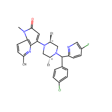 CC[C@H]1CN(C(c2ccc(Cl)cc2)c2ccc(F)cn2)[C@H](CC)CN1c1cc(=O)n(C)c2ccc(C#N)nc12